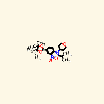 CC(C)CN(c1ccc(B2OC(C)(C)C(C)(C)O2)cc1[N+](=O)[O-])C1CCOCC1